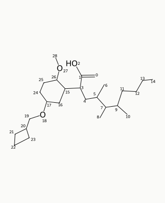 C=C(O)C(CC(C)C(C)C(C)CCCC)C1CC(OCC2CCC2)CCC1OC